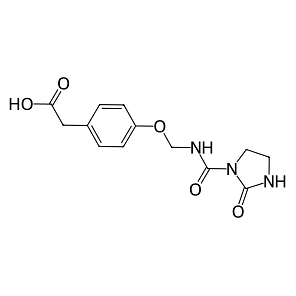 O=C(O)Cc1ccc(OCNC(=O)N2CCNC2=O)cc1